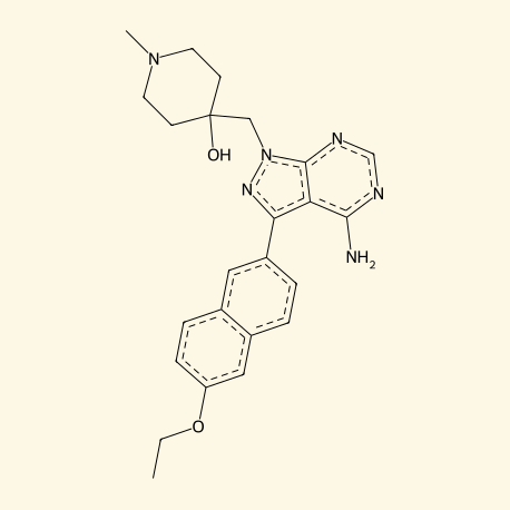 CCOc1ccc2cc(-c3nn(CC4(O)CCN(C)CC4)c4ncnc(N)c34)ccc2c1